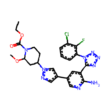 CCOC(=O)N1CCC(n2cc(-c3cnc(N)c(-c4nnnn4-c4cccc(Cl)c4F)c3)cn2)CC1OC